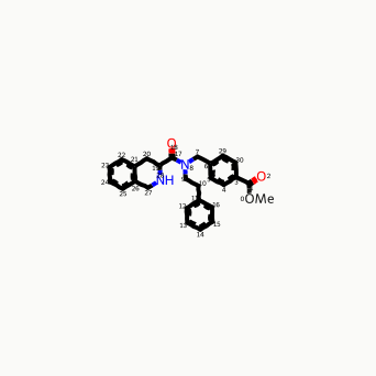 COC(=O)c1ccc(CN(CCc2ccccc2)C(=O)C2Cc3ccccc3CN2)cc1